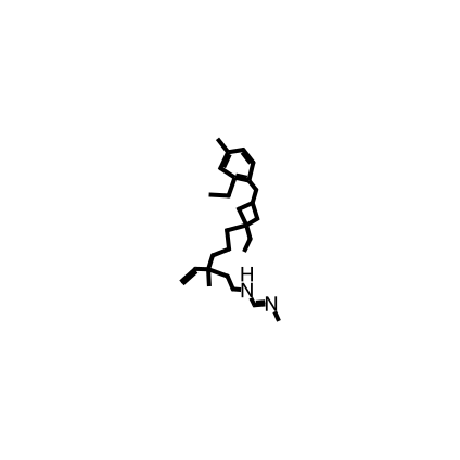 C=CC(C)(CCCC1(CC)CC(Cc2ccc(C)cc2CC)C1)CCN/C=N/C